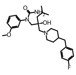 COc1cccc(N(C[C@](O)(CC(C)C)CN2CCC(Cc3ccc(F)cc3)CC2)C(N)=O)c1